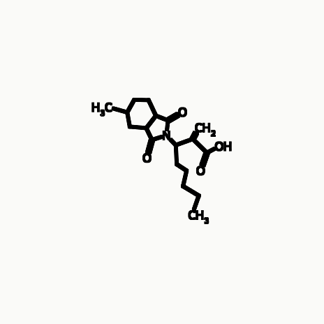 C=C(C(=O)O)C(CCCCC)N1C(=O)C2CCC(C)CC2C1=O